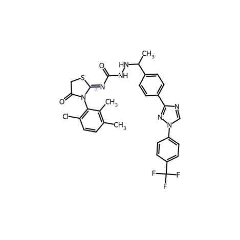 Cc1ccc(Cl)c(N2C(=O)CS/C2=N\C(=O)NNC(C)c2ccc(-c3ncn(-c4ccc(C(F)(F)F)cc4)n3)cc2)c1C